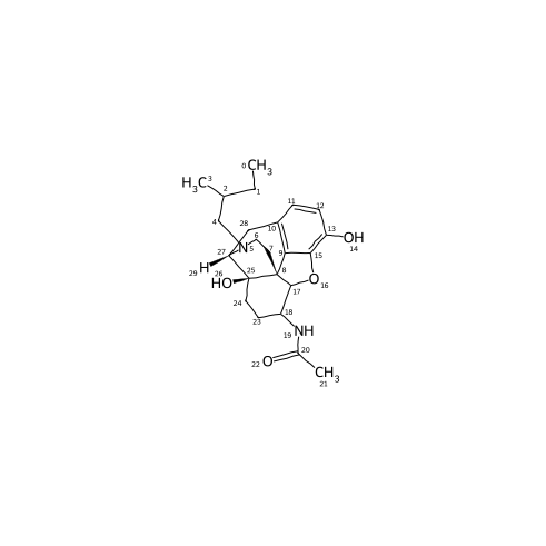 CCC(C)CN1CC[C@@]23c4c5ccc(O)c4OC2C(NC(C)=O)CC[C@]3(O)[C@@H]1C5